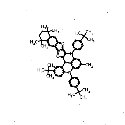 Cc1cc2c3c(c1)N(c1ccc(C(C)(C)C)cc1)c1c(oc4c1oc1cc5c(cc14)C(C)(C)CCC5(C)C)B3c1cc(C(C)(C)C)ccc1N2c1ccc(C(C)(C)C)cc1